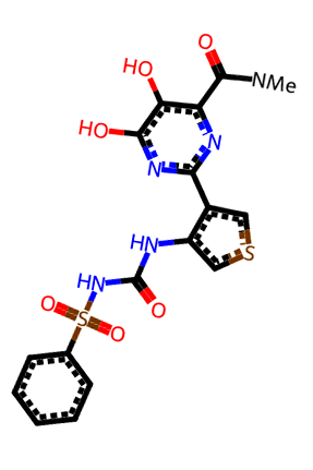 CNC(=O)c1nc(-c2cscc2NC(=O)NS(=O)(=O)c2ccccc2)nc(O)c1O